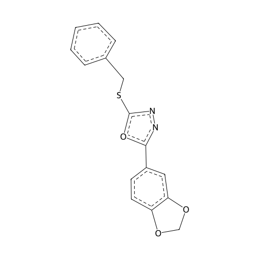 c1ccc(CSc2nnc(-c3ccc4c(c3)OCO4)o2)cc1